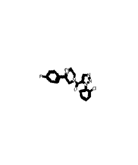 O=C(c1cnnn1-c1ccccc1Cl)N1CCOC(c2ccc(F)cc2)C1